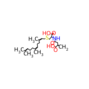 C=C(CC(=O)NC(CSCC=C(C)CCC=C(C)CCC=C(C)C)C(=O)O)C(=O)O